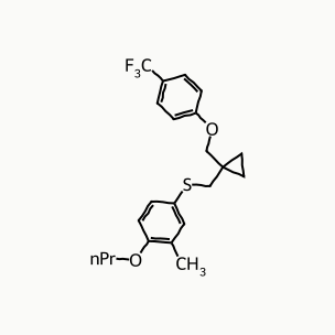 CCCOc1ccc(SCC2(COc3ccc(C(F)(F)F)cc3)CC2)cc1C